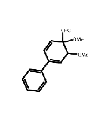 COC1C=C(c2ccccc2)C=CC1(C=O)OC